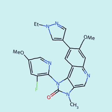 CCn1cc(-c2cc3c(cc2OC)ncc2c3n(-c3ncc(OC)cc3F)c(=O)n2C)cn1